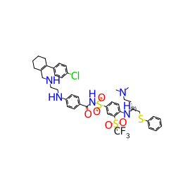 CN(C)CC[C@H](CSc1ccccc1)Nc1ccc(S(=O)(=O)NC(=O)c2ccc(NCCNCC3=C(c4ccc(Cl)cc4)CCCC3)cc2)cc1S(=O)(=O)C(F)(F)F